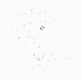 CCOC(=O)[C@H]1O[C@H](O[C@@H]2[C@H](O)[C@@H](O)[C@@H](O[C@@H]3[C@H](O)[C@@H](O)[C@@H](O)O[C@@H]3C(=O)OCO)O[C@@H]2C(=O)OCO)[C@H](O)[C@@H](O)[C@H]1O[C@H]1O[C@H](C(=O)OCO)[C@H](O)[C@H](O)[C@H]1O